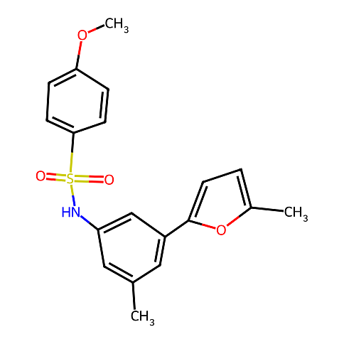 COc1ccc(S(=O)(=O)Nc2cc(C)cc(-c3ccc(C)o3)c2)cc1